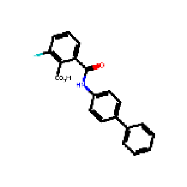 O=C(Nc1ccc(-c2ccccc2)cc1)c1cccc(F)c1C(=O)O